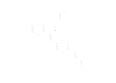 O=C(/C=C/c1ccc(/C=C(\C(=O)NN2CCCC2)c2ccc(F)cc2)cc1)NO